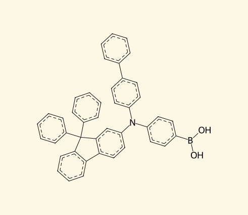 OB(O)c1ccc(N(c2ccc(-c3ccccc3)cc2)c2ccc3c(c2)C(c2ccccc2)(c2ccccc2)c2ccccc2-3)cc1